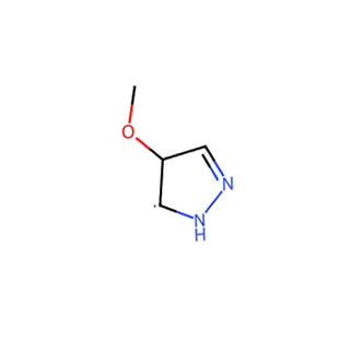 COC1[CH]NN=C1